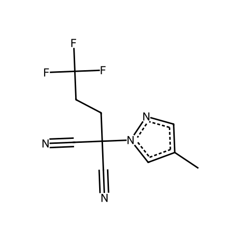 Cc1cnn(C(C#N)(C#N)CCC(F)(F)F)c1